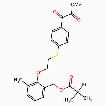 CCC(C)(C)C(=O)OCc1cccc(C)c1OCCSc1ccc(C(=O)C(=O)OC)cc1